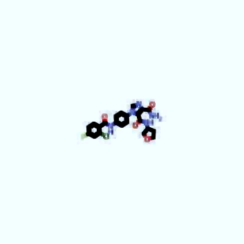 NC(=O)c1ncn(-c2ccc(NC(=O)c3ccc(F)cc3Cl)cc2)c1C(=O)NC1CCOC1